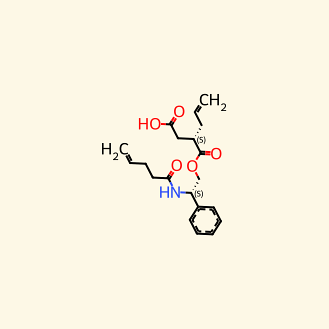 C=CCCC(=O)N[C@H](COC(=O)[C@@H](CC=C)CC(=O)O)c1ccccc1